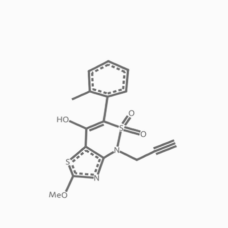 C#CCN1c2nc(OC)sc2C(O)=C(c2ccccc2C)S1(=O)=O